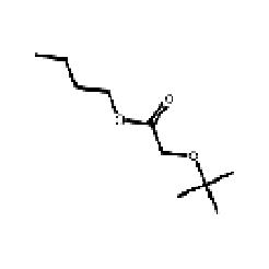 CCCCOC(=O)COC(C)(C)C